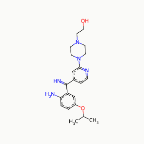 CC(C)Oc1ccc(N)c(C(=N)c2ccnc(N3CCN(CCO)CC3)c2)c1